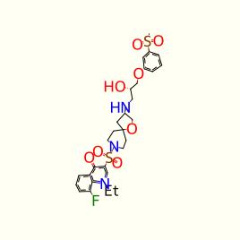 CCn1cc(S(=O)(=O)N2CCC3(CC2)C[C@@H](NC[C@H](O)COc2cccc(S(C)(=O)=O)c2)CO3)c(=O)c2cccc(F)c21